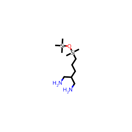 C[Si](C)(C)O[Si](C)(C)CCCC(CN)CN